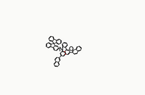 c1cc(-c2ccc3ccccc3c2)cc(N(c2ccc3c(c2)C2(c4ccccc4-c4ccccc42)c2ccccc2-3)c2ccccc2-c2cccc3c2oc2c4ccccc4ccc32)c1